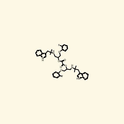 CC(C)(Cc1c[nH]c2ccccc12)NCC(COc1ccccc1F)OC(=O)C(=O)OC(CNC(C)(C)Cc1c[nH]c2ccccc12)COc1ccccc1F